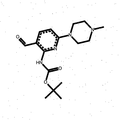 CN1CCN(c2ccc(C=O)c(NC(=O)OC(C)(C)C)n2)CC1